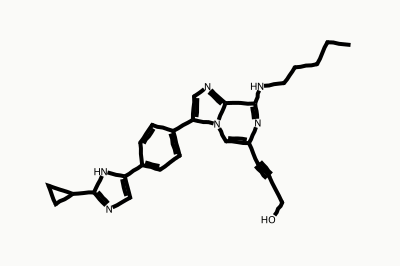 CCCCCNc1nc(C#CCO)cn2c(-c3ccc(-c4cnc(C5CC5)[nH]4)cc3)cnc12